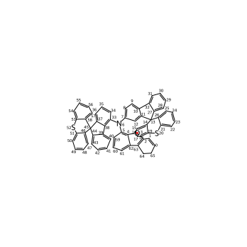 C1=Cc2oc3c(N(c4ccc5c(c4)C4(c6ccccc6Sc6ccccc64)c4ccccc4-5)c4cccc5c4-c4ccccc4C54c5ccccc5Sc5ccccc54)cccc3c2CC1